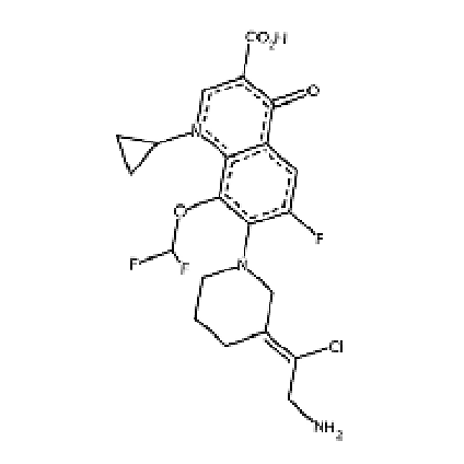 NCC(Cl)=C1CCCN(c2c(F)cc3c(=O)c(C(=O)O)cn(C4CC4)c3c2OC(F)F)C1